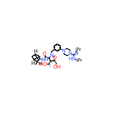 CC(C)/N=C(/NC(C)C)N1CCN(c2cccc(CN3O[C@@H](CO)[C@@H]([C@H](C)O)[C@H]3C(=O)NC3C[C@H]4C[C@@H]([C@@H]3C)C4(C)C)c2)CC1